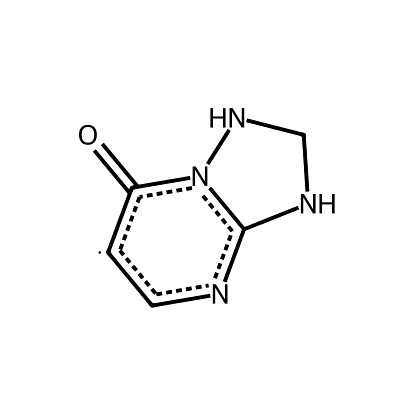 O=c1[c]cnc2n1NCN2